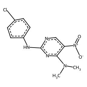 CN(C)c1nc(Nc2ccc(Cl)cc2)ncc1[N+](=O)[O-]